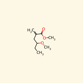 C=C(CC(CC)OC)C(=O)OC